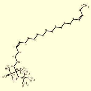 CC/C=C\CCCCCCCCCCCC/C=C\CCCCC(O)(C[N+](C)(C)C)P(=O)(O)O